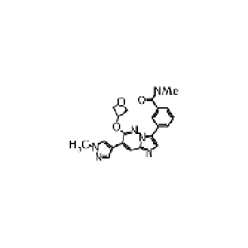 CNC(=O)c1cccc(-c2cnc3cc(-c4cnn(C)c4)c(OC4COC4)nn23)c1